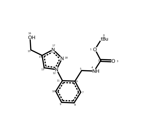 CC(C)(C)OC(=O)NCc1ccccc1-n1cc(CO)nn1